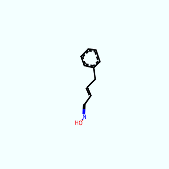 ON=CC=CCc1ccccc1